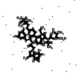 C[C@@H](O)[C@H](NC(=O)N(c1nn(CC(F)(F)F)c2c(-c3ccc(CCC(C)(C)S(C)(=O)=O)nc3[C@H](Cc3cc(F)cc(F)c3)NC(=O)Cn3nc(C(F)(F)F)c4c3C(F)(F)C3C[C@H]43)ccc(Cl)c12)S(C)(=O)=O)C(=O)O